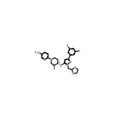 C[C@H]1CN(c2ccc(C(F)(F)F)cn2)CC[C@@H]1Oc1cc(-c2cc(F)cc(F)c2)nn1CC1OCCO1